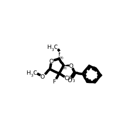 CC[C@H]1OC(OC)C(C)(F)[C@@H]1OC(=O)c1ccccc1